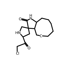 O=C(CCl)C1CC2(CN1)C(=O)NC1CCCCCCCC12